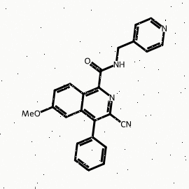 COc1ccc2c(C(=O)NCc3ccncc3)nc(C#N)c(-c3ccccc3)c2c1